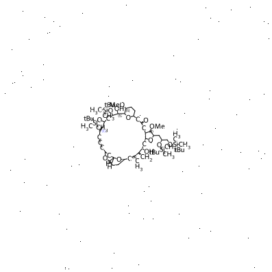 C=C1C(O)CC2OC(CC(CO[Si](C)(C)C(C)(C)C)O[Si](C)(C)C(C)(C)C)[C@H](OC)C2CC(=O)CC2CC[C@H](OC)C(O2)[C@H](O)C(O[Si](C)(C)C(C)(C)C)CC(O[Si](C)(C)C(C)(C)C)/C=C/CCCC2CC3(CI)OC(CC[C@@H]3O2)C[C@H]1C